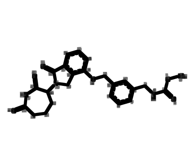 CC(C)(C)OC(=O)NCc1cccc(COc2cccc3c2CN(C2CCCC(=O)NC2=O)C3=O)c1